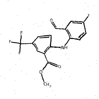 COC(=O)c1cc(C(F)(F)F)ccc1Nc1ccc(F)cc1C=O